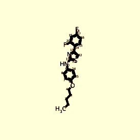 CCCCCOc1ccc(Nc2nc(-c3ccc(F)cc3F)cs2)cc1